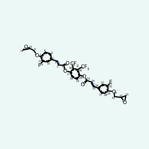 O=C(/C=C/c1ccc(OCC2CO2)c(F)c1)Oc1ccc(OC(=O)/C=C/c2ccc(OCC3CO3)c(F)c2)c(C(F)(F)F)c1C(F)(F)F